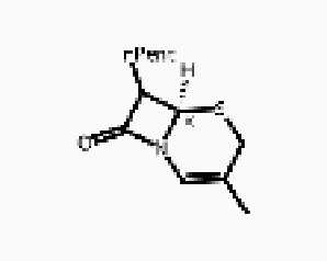 CCCCCC1C(=O)N2C=C(C)CS[C@H]12